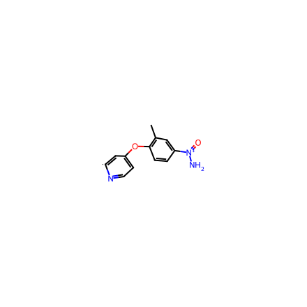 Cc1cc([N+](N)=O)ccc1Oc1c[c]ncc1